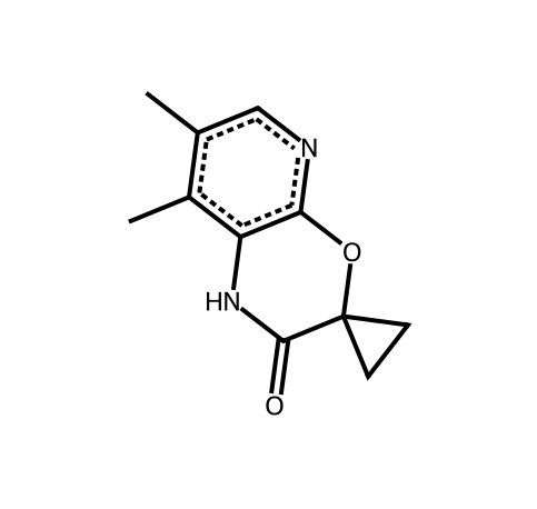 Cc1cnc2c(c1C)NC(=O)C1(CC1)O2